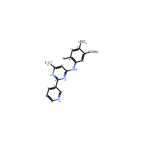 COc1cc(Nc2cc(C(F)(F)F)nc(-c3cccnc3)n2)c(C)cc1[N+](=O)[O-]